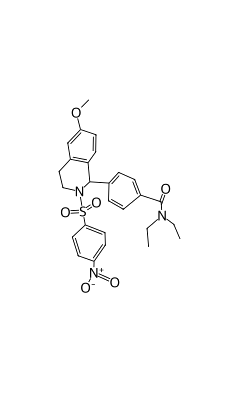 CCN(CC)C(=O)c1ccc(C2c3ccc(OC)cc3CCN2S(=O)(=O)c2ccc([N+](=O)[O-])cc2)cc1